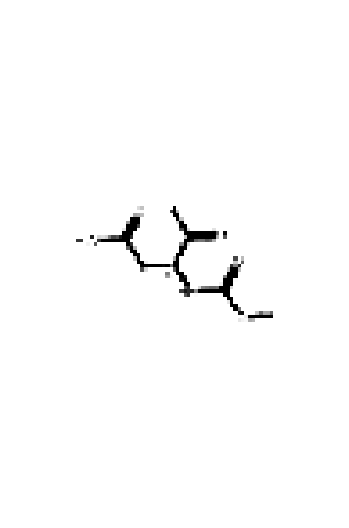 COC(=O)N[C@@H](CC(N)=O)C(C)=O